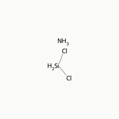 Cl[SiH2]Cl.N